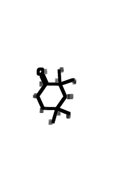 CC1(C)CCC(=O)C(C)(C)C1